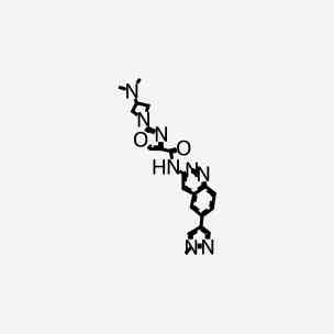 CN(C)C1CN(c2nc(C(=O)Nc3cc4cc(-c5cnn(C)c5)ccc4nn3)co2)C1